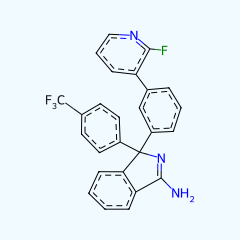 NC1=NC(c2ccc(C(F)(F)F)cc2)(c2cccc(-c3cccnc3F)c2)c2ccccc21